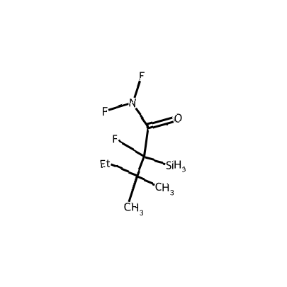 CCC(C)(C)C(F)([SiH3])C(=O)N(F)F